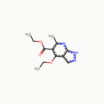 CCOC(=O)c1c(C)nc2[nH]ncc2c1OCC